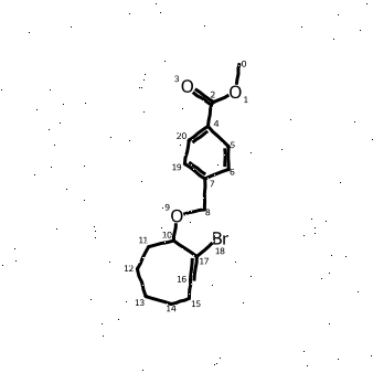 COC(=O)c1ccc(COC2CCCCC/C=C/2Br)cc1